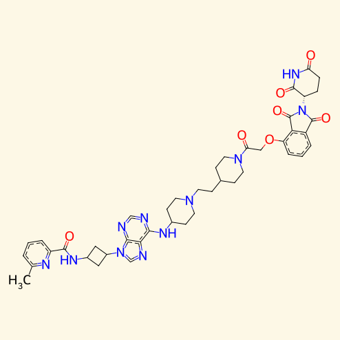 Cc1cccc(C(=O)NC2CC(n3cnc4c(NC5CCN(CCC6CCN(C(=O)COc7cccc8c7C(=O)N([C@H]7CCC(=O)NC7=O)C8=O)CC6)CC5)ncnc43)C2)n1